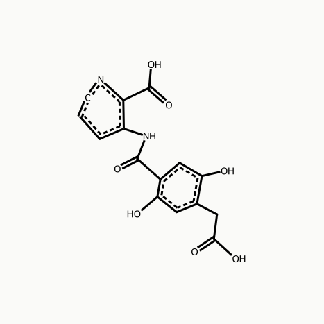 O=C(O)Cc1cc(O)c(C(=O)Nc2cccnc2C(=O)O)cc1O